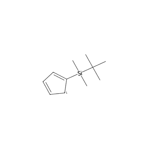 CC(C)(C)[Si](C)(C)C1=CC=C[C]1